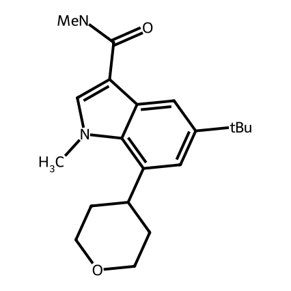 CNC(=O)c1cn(C)c2c(C3CCOCC3)cc(C(C)(C)C)cc12